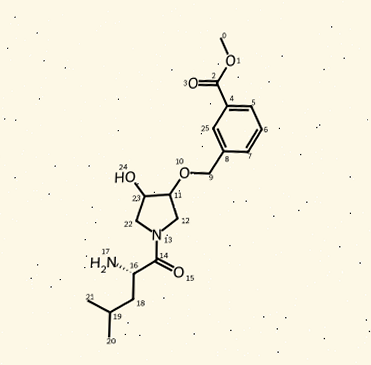 COC(=O)c1cccc(COC2CN(C(=O)[C@@H](N)CC(C)C)CC2O)c1